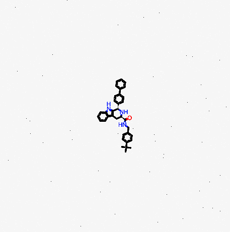 CC(C)(C)c1ccc(CNC(=O)[C@H]2Cc3c([nH]c4ccccc34)[C@H](c3ccc(-c4ccccc4)cc3)N2)cc1